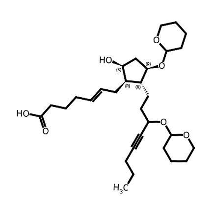 CCCC#CC(CC[C@@H]1[C@@H](CC=CCCCC(=O)O)[C@@H](O)C[C@H]1OC1CCCCO1)OC1CCCCO1